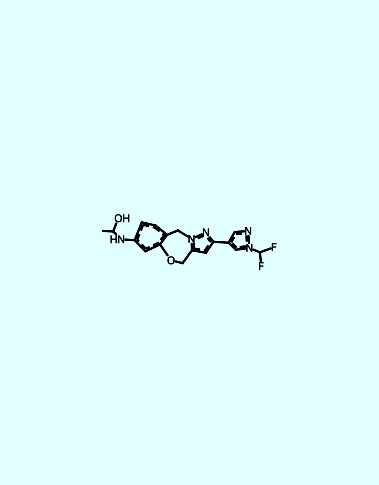 CC(O)Nc1ccc2c(c1)OCc1cc(-c3cnn(C(F)F)c3)nn1C2